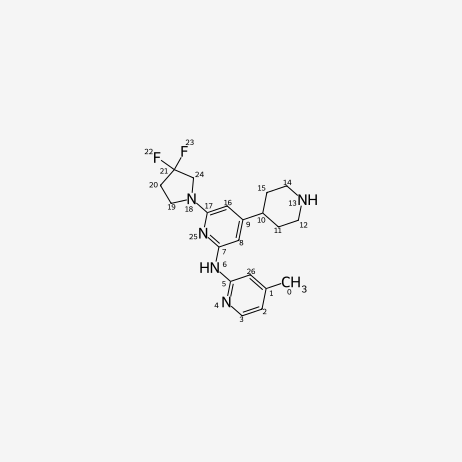 Cc1ccnc(Nc2cc(C3CCNCC3)cc(N3CCC(F)(F)C3)n2)c1